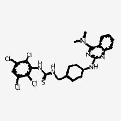 CN(C)c1nc(NC2CCC(CNC(=S)Nc3c(Cl)c(Cl)cc(Cl)c3Cl)CC2)nc2ccccc12